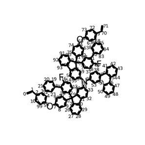 C=Cc1ccc(Oc2ccc(C3(c4ccc(F)c(-c5ccccc5)c4)c4ccccc4-c4ccc(N(c5ccc(-c6ccccc6-c6ccccc6)cc5)c5ccc6c(c5)C(c5ccc(Oc7ccc(C=C)cc7)cc5)(c5ccc(F)c(-c7ccccc7)c5)c5ccccc5-6)cc43)cc2)cc1